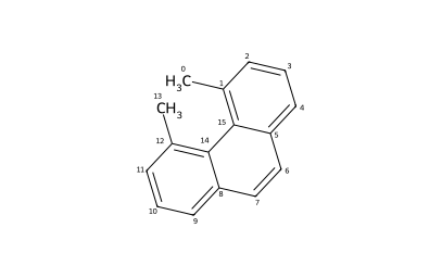 Cc1cccc2ccc3cccc(C)c3c12